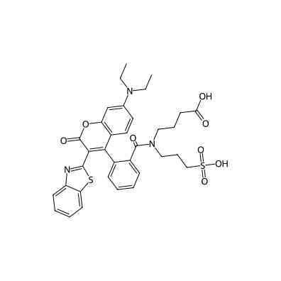 CCN(CC)c1ccc2c(-c3ccccc3C(=O)N(CCCC(=O)O)CCCS(=O)(=O)O)c(-c3nc4ccccc4s3)c(=O)oc2c1